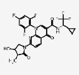 CC1C(=O)N(c2ccc3c(=O)c(C(=O)N[C@@H](C4CC4)C(F)(F)F)cn(-c4c(F)cc(F)cc4F)c3n2)CC1O